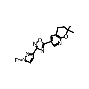 CCn1ccc(-c2noc(-c3cnc4c(c3)CCC(C)(C)O4)n2)n1